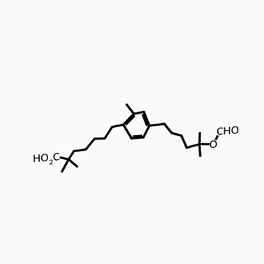 Cc1cc(CCCCC(C)(C)OC=O)ccc1CCCCCC(C)(C)C(=O)O